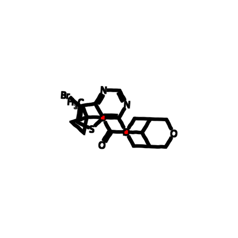 CC1(OC(=O)N2CC3COCC(C2)C3Oc2ncnc3c(Br)csc23)CC1